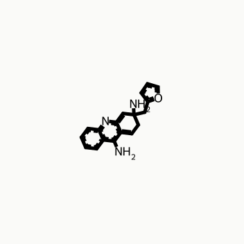 Nc1c2c(nc3ccccc13)=CC(N)(Cc1ccco1)CC=2